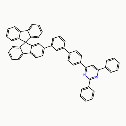 c1ccc(-c2cc(-c3ccc(-c4cccc(-c5ccc6c(c5)C5(c7ccccc7-c7ccccc75)c5ccccc5-6)c4)cc3)nc(-c3ccccc3)n2)cc1